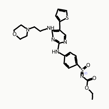 CCOC(=O)/N=[SH](=O)/c1ccc(Nc2ncc(-c3cccs3)c(NCCN3CCOCC3)n2)cc1